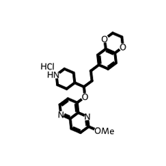 COc1ccc2nccc(OC(CCc3ccc4c(c3)OCCO4)C3CCNCC3)c2n1.Cl